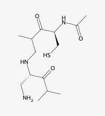 CC(=O)N[C@@H](CS)C(=O)C(C)CN[C@@H](CN)C(=O)C(C)C